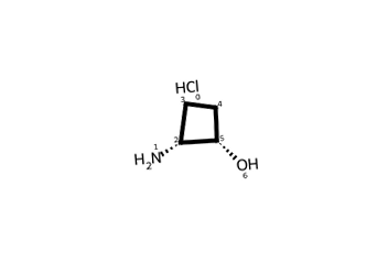 Cl.N[C@@H]1CC[C@@H]1O